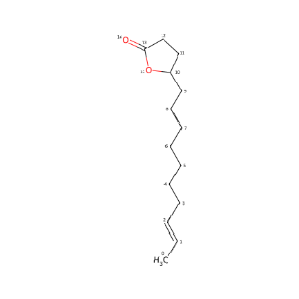 CC=CCCCCCCCC1CCC(=O)O1